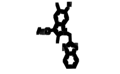 CC(=O)Oc1c(C)n(Cc2nc3ccccc3s2)c2cc(F)c(C)cc12